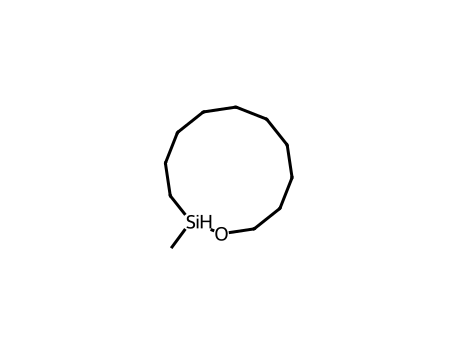 C[SiH]1CCCCCCCCCCO1